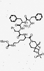 CC(C)CC(NC(=O)C(Cc1ccccc1)NC(=O)C(Cc1ccccc1)NC(=O)O)C(=O)NC(CCCCNC(=O)OC(C)(C)C)C(=O)N1CCC2(CN(S(C)(=O)=O)C2)C(F)(F)C1